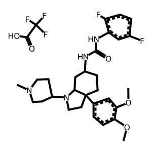 COc1ccc(C23CCC(NC(=O)Nc4cc(F)ccc4F)CC2N(C2CCN(C)CC2)CC3)cc1OC.O=C(O)C(F)(F)F